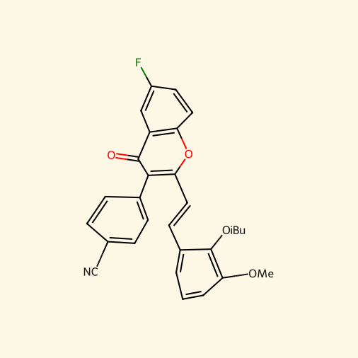 COc1cccc(C=Cc2oc3ccc(F)cc3c(=O)c2-c2ccc(C#N)cc2)c1OCC(C)C